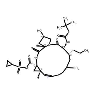 COC[C@@H]1CC(C)CC/C=C\[C@@H]2C[C@@]2(C(=O)NS(=O)(=O)C2CC2)NC(=O)[C@@H]2C[C@@H](O)CN2C(=O)[C@H]1NC(=O)OC(C)(C)C